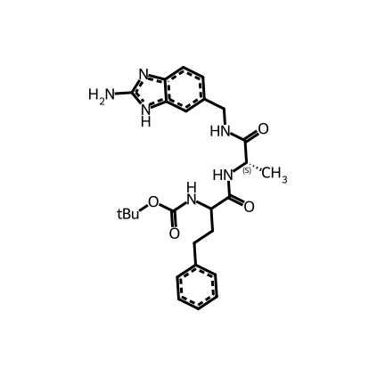 C[C@H](NC(=O)C(CCc1ccccc1)NC(=O)OC(C)(C)C)C(=O)NCc1ccc2nc(N)[nH]c2c1